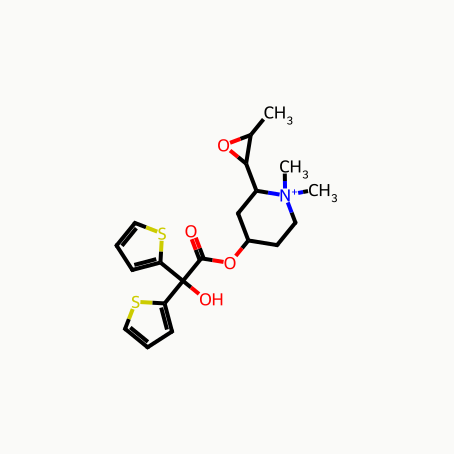 CC1OC1C1CC(OC(=O)C(O)(c2cccs2)c2cccs2)CC[N+]1(C)C